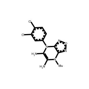 CC(C)(C)N1C(N)=C(N)N(c2ccc(Cl)c(Cl)c2)c2nonc21